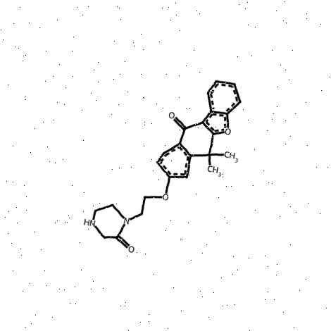 CC1(C)c2cc(OCCN3CCNCC3=O)ccc2C(=O)c2c1oc1ccccc21